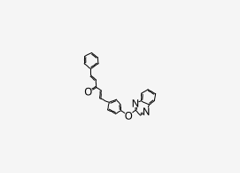 O=C(C=Cc1ccccc1)C=Cc1ccc(Oc2cnc3ccccc3n2)cc1